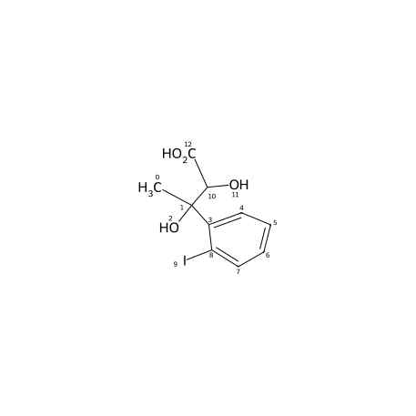 CC(O)(c1ccccc1I)C(O)C(=O)O